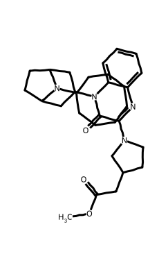 COC(=O)CC1CCN(c2nc3ccccc3n(C3CC4CCC(C3)N4C3CCCCCCC3)c2=O)C1